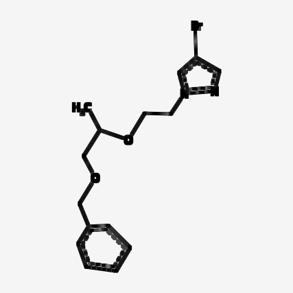 CC(COCc1ccccc1)OCCn1cc(Br)cn1